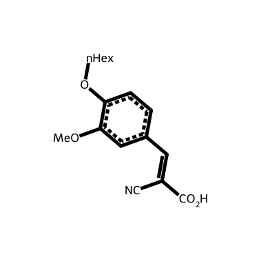 CCCCCCOc1ccc(/C=C(\C#N)C(=O)O)cc1OC